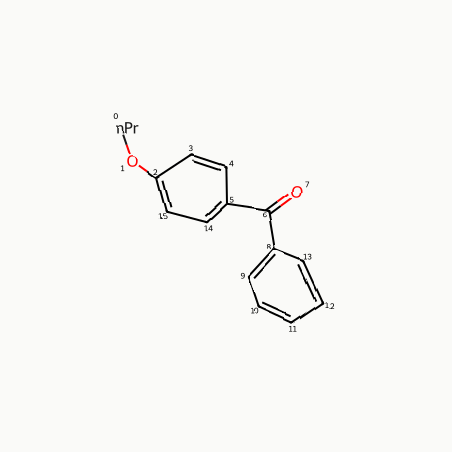 CCCOc1ccc(C(=O)c2ccccc2)cc1